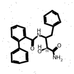 NC(=O)[C@@H](O)C(Cc1ccccc1)NC(=O)c1ccccc1-c1ccccc1